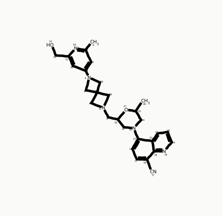 Cc1cc(N2CC3(CN(CC4CN(c5ccc(C#N)c6ncccc56)CC(C)O4)C3)C2)cc(CO)n1